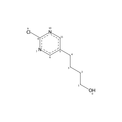 OCCCCc1cnc(Cl)nc1